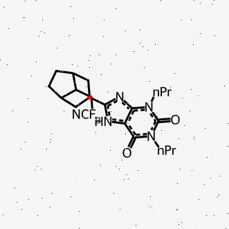 CCCn1c(=O)c2[nH]c(C3CC4CCC(C3)C4CNC(F)(F)F)nc2n(CCC)c1=O